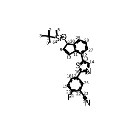 CC(C)(C)[Si](C)(C)O[C@@H]1C=Cc2c(-c3cnc(-c4ccc(F)c(C#N)c4)s3)cccc21